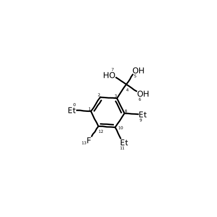 CCc1cc(C(O)(O)O)c(CC)c(CC)c1F